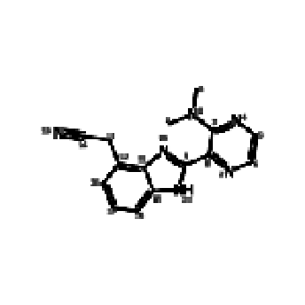 CN(C)c1nccnc1-c1nc2c(CC#N)cccc2[nH]1